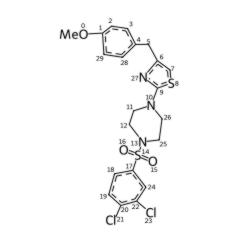 COc1ccc(Cc2csc(N3CCN(S(=O)(=O)c4ccc(Cl)c(Cl)c4)CC3)n2)cc1